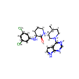 C[C@H]1CCN(c2ncnc3[nH]ccc23)C[C@@H]1N1CCCC(Nc2cc(Cl)cc(Cl)c2)C1=O